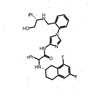 CCCC(N[C@H]1CCc2cc(F)cc(F)c2C1)C(=O)Nc1cn(-c2ccccc2CN[C@H](CO)C(C)C)cn1